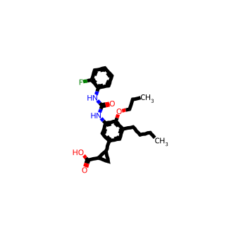 CCCCc1cc(C2CC2C(=O)O)cc(NC(=O)Nc2ccccc2F)c1OCCC